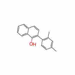 Cc1ccc(-c2ccc3ccccc3c2O)c(C)c1